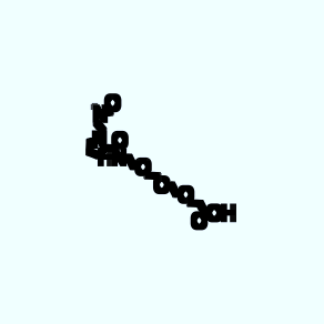 CN(C=O)CCN1CCCC1C(=O)NCCOCCOCCOCCC(=O)O